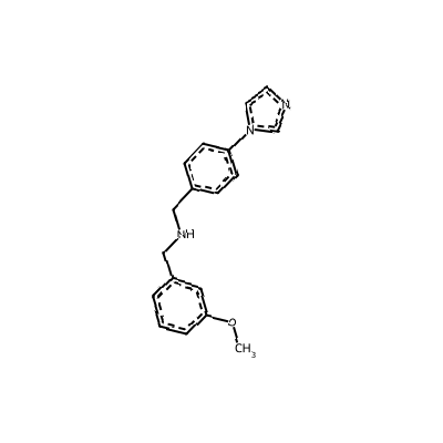 COc1cccc(CNCc2ccc(-n3ccnc3)cc2)c1